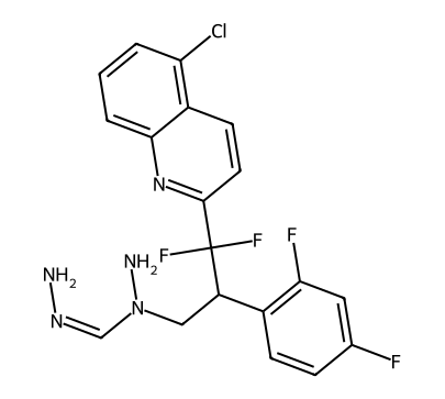 N/N=C\N(N)CC(c1ccc(F)cc1F)C(F)(F)c1ccc2c(Cl)cccc2n1